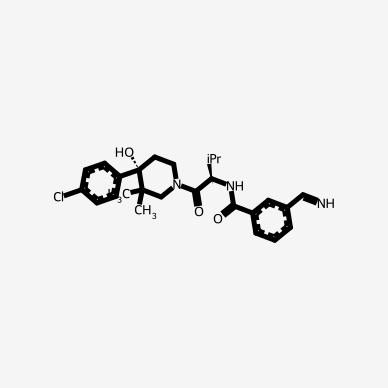 CC(C)[C@@H](NC(=O)c1cccc(C=N)c1)C(=O)N1CC[C@](O)(c2ccc(Cl)cc2)C(C)(C)C1